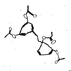 CC(=O)OC1=CC=CC(CCc2cc(OC(C)=O)cc(OC(C)=O)c2)(OC(C)=O)C1